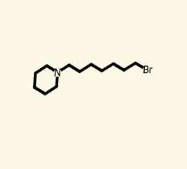 BrCCCCCCCN1CCCCC1